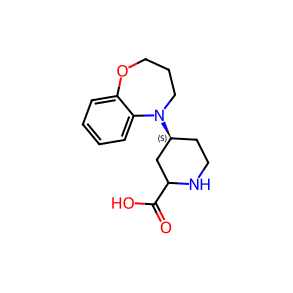 O=C(O)C1C[C@@H](N2CCCOc3ccccc32)CCN1